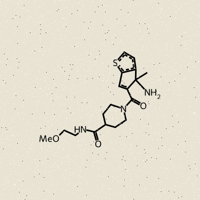 COCCNC(=O)C1CCN(C(=O)C2=Cc3sccc3C2(C)N)CC1